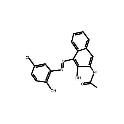 CC(=O)Nc1cc2ccccc2c(N=Nc2cc(Cl)ccc2O)c1O